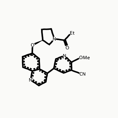 CCC(=O)N1CC[C@H](Oc2ccc3nccc(-c4cnc(OC)c(C#N)c4)c3c2)C1